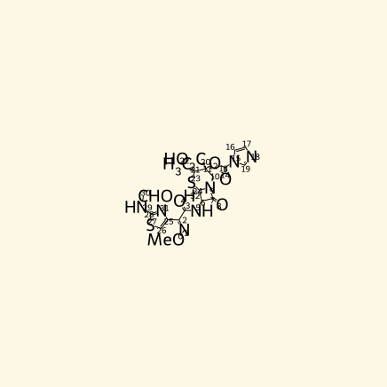 CON=C(C(=O)NC1C(=O)N2CC(OC(=O)n3ccnc3)(C(=O)O)C(C)S[C@H]12)c1csc(NC=O)n1